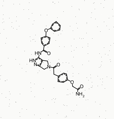 NC(=O)COc1ccc(CC(=O)N2Cc3n[nH]c(NC(=O)c4ccc(Oc5ccccc5)cc4)c3C2)cc1